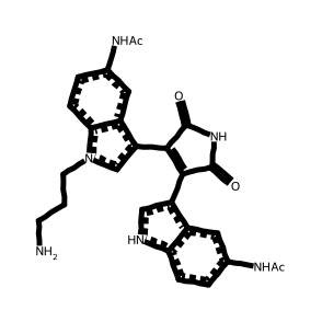 CC(=O)Nc1ccc2[nH]cc(C3=C(c4cn(CCCN)c5ccc(NC(C)=O)cc45)C(=O)NC3=O)c2c1